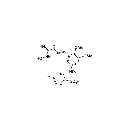 COc1cc([N+](=O)[O-])cc(/C=N/NC(=N)NO)c1OC.Cc1ccc(S(=O)(=O)O)cc1